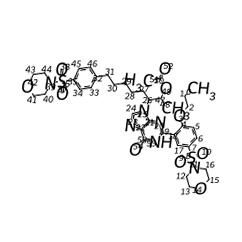 CCCOc1ccc(S(=O)(=O)N2CCOCC2)cc1-c1nc2c(ncn2C(CCCCCc2ccc(S(=O)(=O)N3CCOCC3)cc2)C(C)OC(C)=O)c(=O)[nH]1